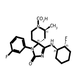 C[C@H]1C[C@]2(CCN1C(=O)O)C(N[C@@H]1CCCC[C@H]1F)=NC(=O)N2c1cccc(F)c1